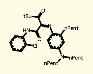 CCCCCc1cc(N(CCCCC)CCCCC)ccc1/N=C(\C(=O)Nc1ccccc1Cl)C(=O)C(C)(C)C